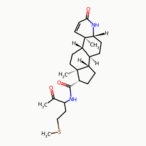 CSCCC(NC(=O)[C@H]1CC[C@H]2[C@@H]3CC[C@H]4NC(=O)C=C[C@]4(C)[C@H]3CC[C@]12C)C(C)=O